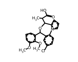 COc1cccc(C2OC(C(C)C(=O)O)c3cccn3-c3ccc(Cl)cc32)c1OC